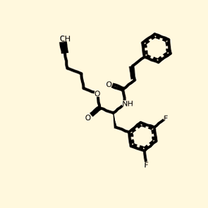 C#CCCCOC(=O)[C@H](Cc1cc(F)cc(F)c1)NC(=O)/C=C/c1ccccc1